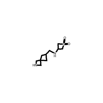 O=S1(=O)CC(NCC2CC3(CNC3)C2)C1